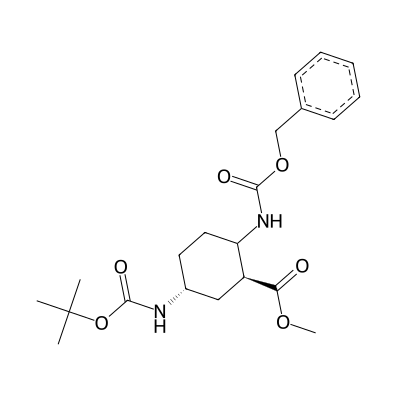 COC(=O)[C@H]1C[C@H](NC(=O)OC(C)(C)C)CCC1NC(=O)OCc1ccccc1